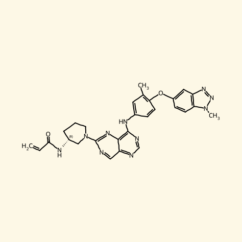 C=CC(=O)N[C@@H]1CCCN(c2ncc3ncnc(Nc4ccc(Oc5ccc6c(c5)nnn6C)c(C)c4)c3n2)C1